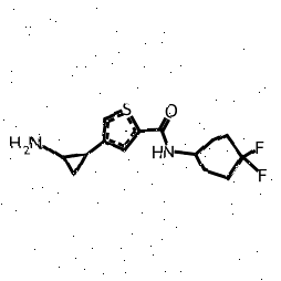 NC1CC1c1csc(C(=O)NC2CCC(F)(F)CC2)c1